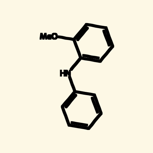 COc1ccccc1Nc1ccccc1